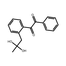 CC(O)(O)Cc1ccccc1C(=O)C(=O)c1ccccc1